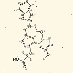 COc1ccc(OCCN(Cc2ccc(OC(C)(C)C(=O)O)cc2)c2nc3ccccc3o2)cc1